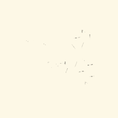 CNC(=O)c1cc(C(=O)N[C@H]2C[C@@H]2CCN(C)CCN)cn(Cc2cccc3[nH]ccc23)c1=O